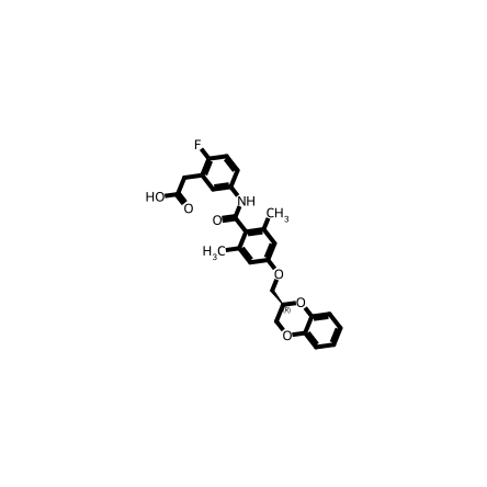 Cc1cc(OC[C@@H]2COc3ccccc3O2)cc(C)c1C(=O)Nc1ccc(F)c(CC(=O)O)c1